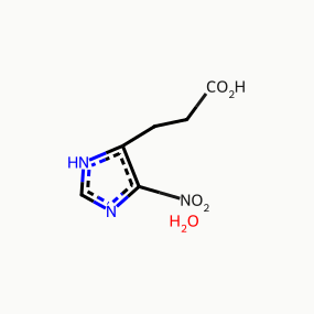 O.O=C(O)CCc1[nH]cnc1[N+](=O)[O-]